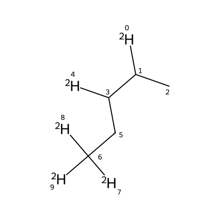 [2H]C(C)C([2H])CC([2H])([2H])[2H]